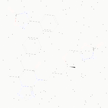 CCCc1c(Cc2ccc(-c3ccccc3-c3noc(=O)[nH]3)cc2)c(=O)n([C@@H](C)CC[C@H](CC)OCc2n[nH]c(=O)o2)c2ncnn12